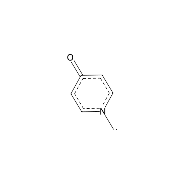 [CH2]n1ccc(=O)cc1